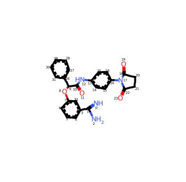 N=C(N)c1cccc(OC(C(=O)Nc2ccc(N3C(=O)CCC3=O)cc2)c2ccccc2)c1